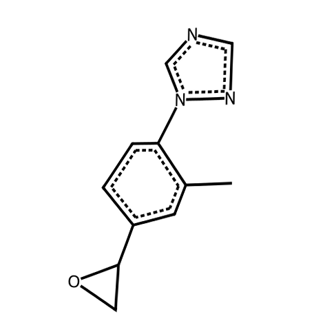 Cc1cc(C2CO2)ccc1-n1cncn1